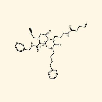 C#CCN1CC(=O)N2[C@@H](CCCNC(=O)OCC=C)C(=O)N(CCSCc3ccccc3)C[C@@H]2N1C(=O)NCc1ccccc1